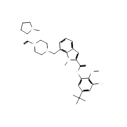 COc1c(N)cc(C(C)(C)C)cc1NC(=O)c1cc2cccc(CN3CCN(C(=O)[C@@H]4CCCN4C)CC3)c2n1C